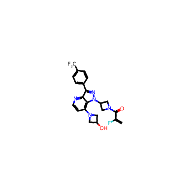 C=C(F)C(=O)N1CC(n2nc(-c3ccc(C(F)(F)F)cc3)c3nccc(N4CC(O)C4)c32)C1